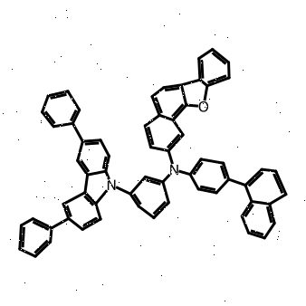 c1ccc(-c2ccc3c(c2)c2cc(-c4ccccc4)ccc2n3-c2cccc(N(c3ccc(-c4cccc5ccccc45)cc3)c3ccc4ccc5c6ccccc6oc5c4c3)c2)cc1